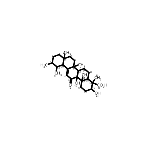 CC1CCC2(C)CCC3(C)C(=CC(=O)C4(C)C3CCC3C(C)(C(=O)O)C(O)CCC34C)C2C1C